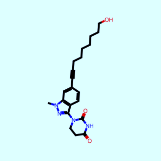 Cn1nc(N2CCC(=O)NC2=O)c2ccc(C#CCCCCCCCO)cc21